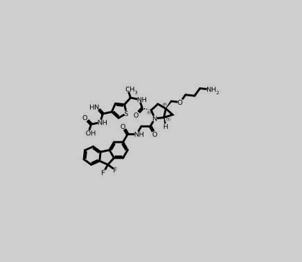 CC(NC(=O)[C@@H]1C[C@]2(COCCCN)C[C@@H]2N1C(=O)CNC(=O)c1ccc2c(c1)-c1ccccc1C2(F)F)c1cc(C(=N)NC(=O)O)cs1